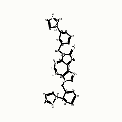 O=c1nc2c3ncn(Cc4ccccc4-n4ccnn4)c3ncnc-2n1Cc1cccc(-n2ccnn2)c1